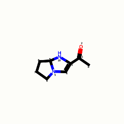 CC(=O)C1=CN2CCCC2N1